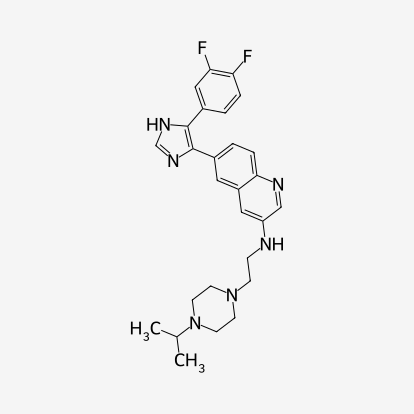 CC(C)N1CCN(CCNc2cnc3ccc(-c4nc[nH]c4-c4ccc(F)c(F)c4)cc3c2)CC1